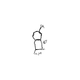 Cl.O=C(O)C1Cc2ccc(O)cc2CN1